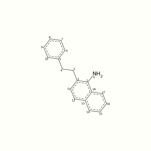 Nc1c(CCc2ccccc2)ccc2ccccc12